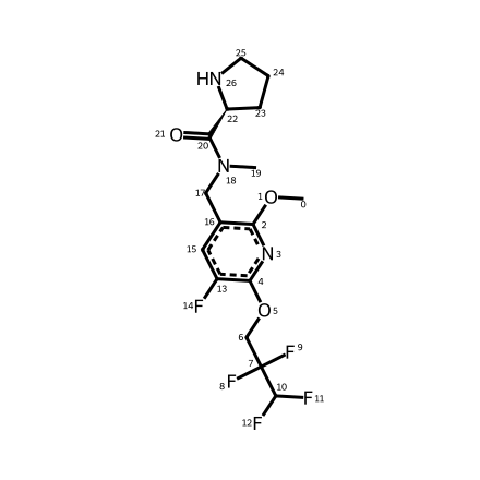 COc1nc(OCC(F)(F)C(F)F)c(F)cc1CN(C)C(=O)[C@@H]1CCCN1